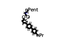 CCCCC/C=C/C(=O)Oc1ccc(-c2ccc(-c3ccc(CCC)cc3)cc2)s1